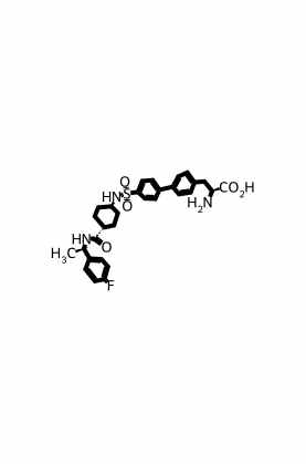 C[C@@H](NC(=O)[C@H]1CC[C@H](NS(=O)(=O)c2ccc(-c3ccc(C[C@H](N)C(=O)O)cc3)cc2)CC1)c1ccc(F)cc1